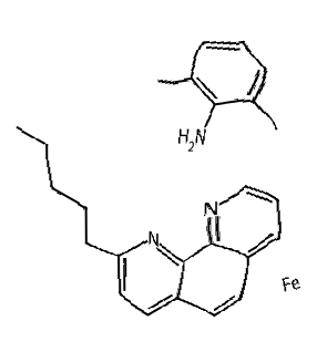 CCCCCc1ccc2ccc3cccnc3c2n1.Cc1cccc(C)c1N.[Fe]